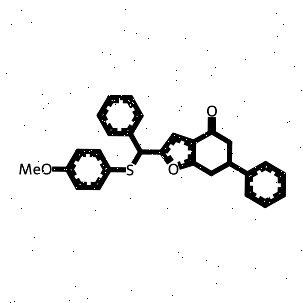 COc1ccc(SC(c2ccccc2)c2cc3c(o2)CC(c2ccccc2)CC3=O)cc1